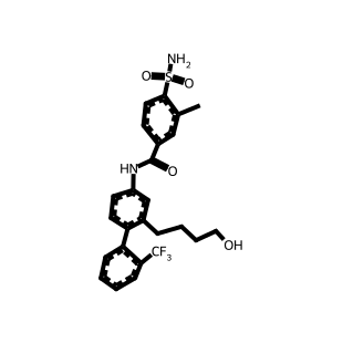 Cc1cc(C(=O)Nc2ccc(-c3ccccc3C(F)(F)F)c(CCCCO)c2)ccc1S(N)(=O)=O